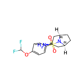 N[C@H]1C[C@H]2CC[C@@H](C1)N2S(=O)(=O)c1ccc(OC(F)F)cc1